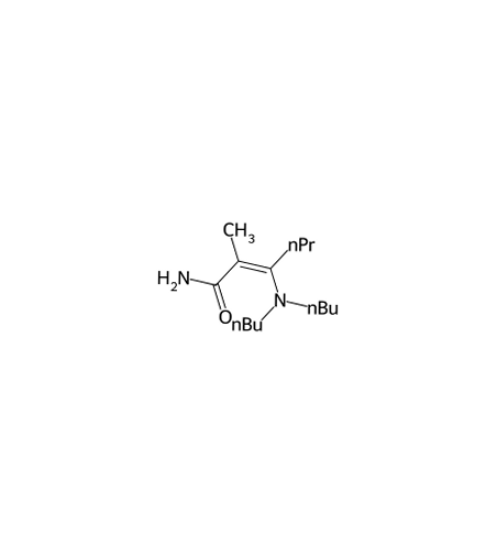 CCCCN(CCCC)C(CCC)=C(C)C(N)=O